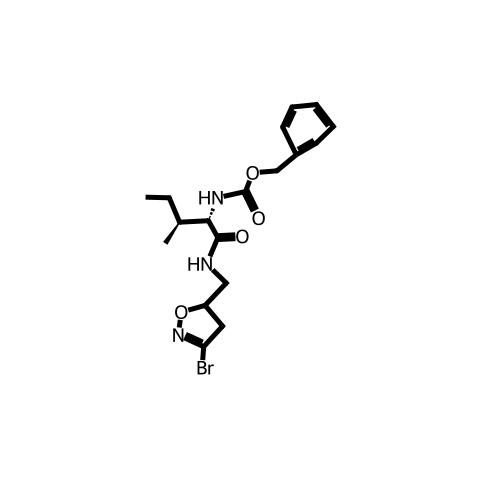 CC[C@H](C)[C@H](NC(=O)OCc1ccccc1)C(=O)NCC1CC(Br)=NO1